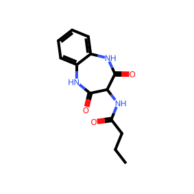 CCCC(=O)NC1C(=O)Nc2ccccc2NC1=O